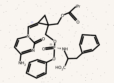 CC(C)C(=O)OCC1(CO[P@@](=O)(NC(Cc2ccccc2)C(=O)O)Oc2ccccc2)C/C1=C/n1ccc(N)nc1=O